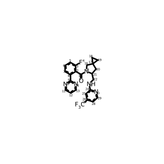 O=C(c1c(F)cccc1-c1ncccn1)N1CC2(CC2)CC1CNc1cc(C(F)(F)F)ccn1